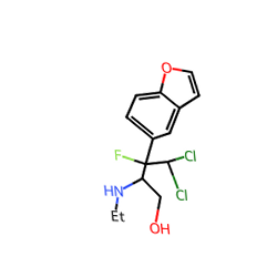 CCNC(CO)C(F)(c1ccc2occc2c1)C(Cl)Cl